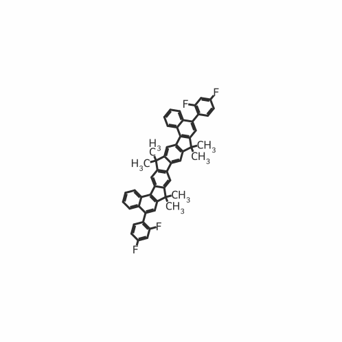 CC1(C)c2cc3c(cc2-c2cc4c(cc21)-c1c(cc(-c2ccc(F)cc2F)c2ccccc12)C4(C)C)C(C)(C)c1cc(-c2ccc(F)cc2F)c2ccccc2c1-3